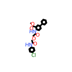 COC(=O)c1cc(-c2ccccc2)ccc1NC(=O)COCC(=O)Nc1ccc(Cl)cc1